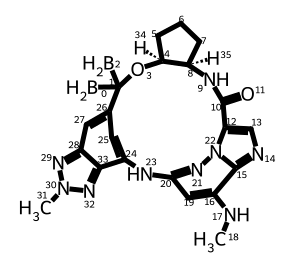 BC1(B)O[C@H]2CCC[C@H]2NC(=O)c2cnc3c(NC)cc(nn23)Nc2cc1cc1nn(C)nc21